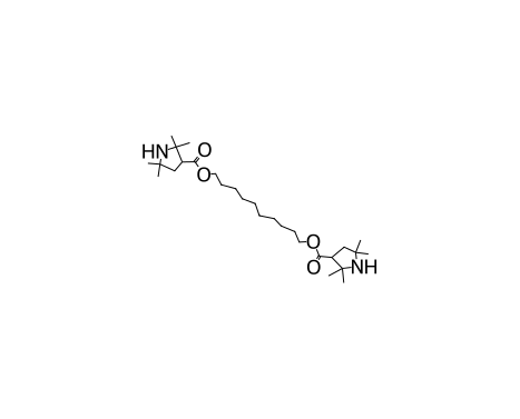 CC1(C)CC(C(=O)OCCCCCCCCCCOC(=O)C2CC(C)(C)NC2(C)C)C(C)(C)N1